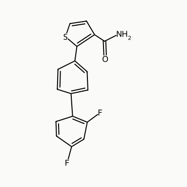 NC(=O)c1ccsc1-c1ccc(-c2ccc(F)cc2F)cc1